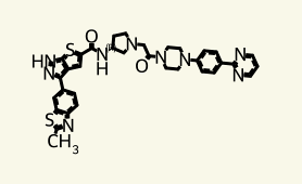 Cc1nc2ccc(-c3n[nH]c4sc(C(=O)N[C@@H]5CCN(CC(=O)N6CCN(c7ccc(-c8ncccn8)cc7)CC6)C5)cc34)cc2s1